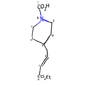 CCOC(=O)/C=C/C1CCN(C(=O)O)CC1